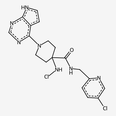 O=C(NCc1ccc(Cl)cn1)C1(NCl)CCN(c2ncnc3[nH]ccc23)CC1